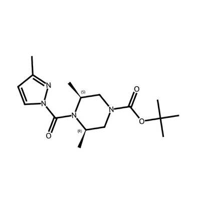 Cc1ccn(C(=O)N2[C@H](C)CN(C(=O)OC(C)(C)C)C[C@@H]2C)n1